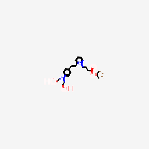 O=C(CCC[n+]1ccccc1/C=C/c1ccc(N(CCO)CCO)cc1)OC1CSSC1